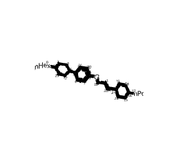 CCCCCCC1CCC(c2ccc(OCCCC3CCC(CCC)CC3)cc2)CC1